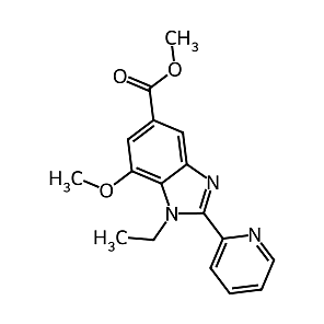 CCn1c(-c2ccccn2)nc2cc(C(=O)OC)cc(OC)c21